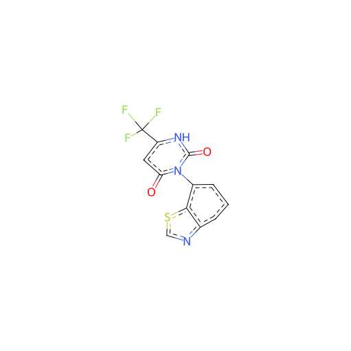 O=c1cc(C(F)(F)F)[nH]c(=O)n1-c1cccc2ncsc12